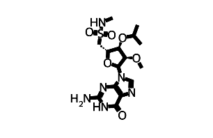 CNS(=O)(=O)C[C@H]1OC(n2cnc3c(=O)[nH]c(N)nc32)[C@H](OC)[C@@H]1OC(C)C